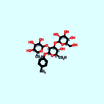 O=C(O)[C@H]1OC(O[C@H]2[C@H](Oc3ccc([N+](=O)[O-])cc3)O[C@H](C(=O)O)[C@@H](O)[C@@H]2OC2O[C@H](CO)[C@@H](O)[C@H](O)[C@H]2O)[C@H](O)[C@@H](O)[C@@H]1O